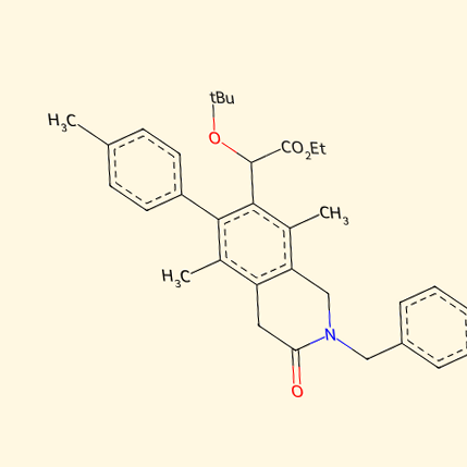 CCOC(=O)C(OC(C)(C)C)c1c(C)c2c(c(C)c1-c1ccc(C)cc1)CC(=O)N(Cc1ccccc1)C2